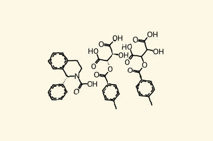 Cc1ccc(C(=O)OC(C(=O)O)C(O)C(=O)O)cc1.Cc1ccc(C(=O)O[C@H](C(=O)O)[C@H](O)C(=O)O)cc1.O=C(O)N1CCc2ccccc2[C@H]1c1ccccc1